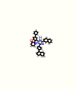 c1ccc(-c2cc(C3NC(c4ccc(-c5cccc6ccccc56)cc4)=NC(c4ccc5ccccc5c4)N3)c3c(c2)oc2ccccc23)cc1